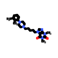 Cc1cccc(N2CCN(CCCCCn3cnc4c3c(=O)n(C)c(=O)n4C)CC2)c1C